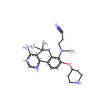 CN(CCC#N)c1c(OC2CCNCC2)ccc2c1CC(C)(C)c1c(N)ncnc1-2